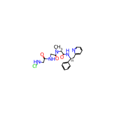 CN(CC(=O)N[C@@H](Cc1ccccn1)c1ccccc1)C(=O)CNC(=O)CNCl